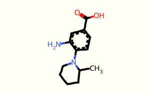 CC1CCCCN1c1ccc(C(=O)O)cc1N